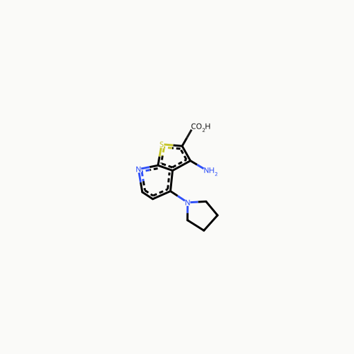 Nc1c(C(=O)O)sc2nccc(N3CCCC3)c12